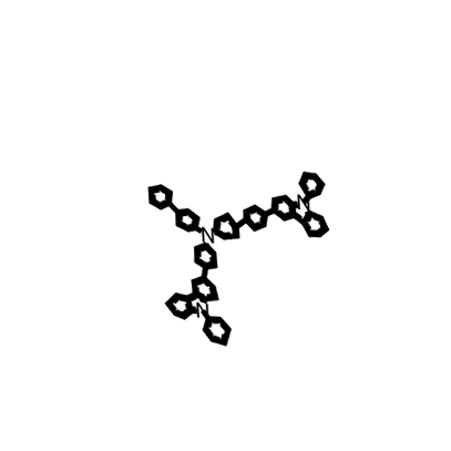 c1ccc(-c2ccc(N(c3ccc(-c4ccc(-c5ccc6c(c5)c5ccccc5n6-c5ccccc5)cc4)cc3)c3ccc(-c4ccc5c(c4)c4ccccc4n5-c4ccccc4)cc3)cc2)cc1